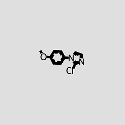 COc1ccc(-n2ccnc2Cl)cc1